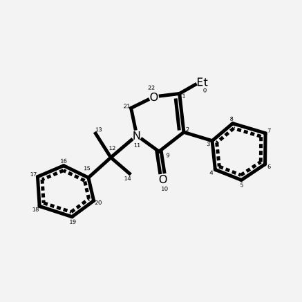 CCC1=C(c2ccccc2)C(=O)N(C(C)(C)c2ccccc2)CO1